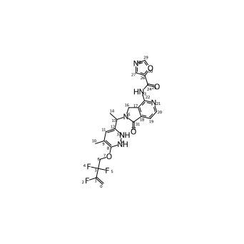 C=C(F)C(F)(F)COC1=C(C)C=C(C(C)N2Cc3c(ccnc3NC(=O)c3cnco3)C2=O)NN1